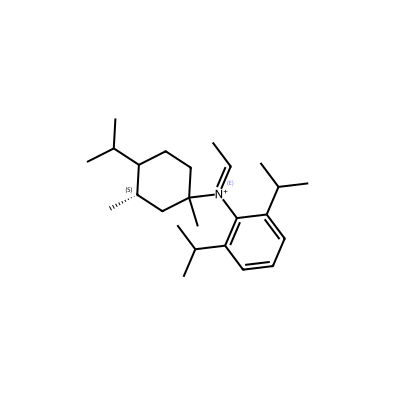 C/C=[N+](/c1c(C(C)C)cccc1C(C)C)C1(C)CCC(C(C)C)[C@@H](C)C1